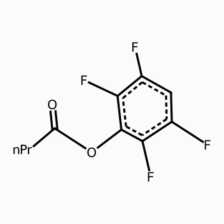 CCCC(=O)Oc1c(F)c(F)cc(F)c1F